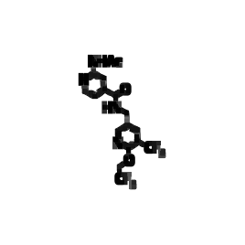 CC(=O)Nc1cc(C(=O)NCc2cnc(OCC(F)(F)F)c(C(F)(F)F)c2)ccn1